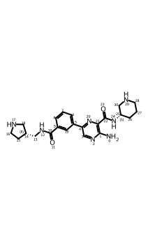 Nc1ncc(-c2cccc(C(=O)NC[C@@H]3CCNC3)c2)nc1C(=O)N[C@H]1CCCNC1